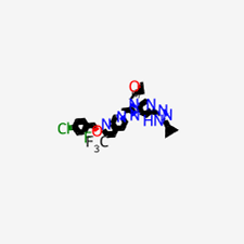 Fc1cc(Cl)ccc1COc1nc2c(cc1C(F)(F)F)CCN(Cc1nc3cc(-c4nnc(C5CC5)[nH]4)ncc3n1C[C@@H]1CCO1)C2